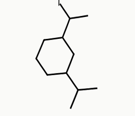 CC(C)C1CCCC(C(C)I)C1